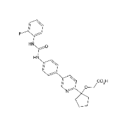 O=C(O)COC1(c2ccc(-c3ccc(NC(=O)Nc4ccccc4F)cc3)cn2)CCCC1